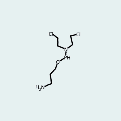 NCCCOPN(CCCl)CCCl